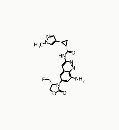 Cn1cc([C@H]2C[C@@H]2C(=O)Nc2cc3cc(N4C(=O)OC[C@@H]4CF)cc(N)c3nn2)cn1